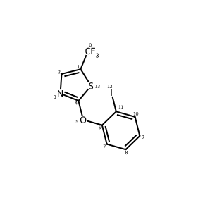 FC(F)(F)c1cnc(Oc2ccccc2I)s1